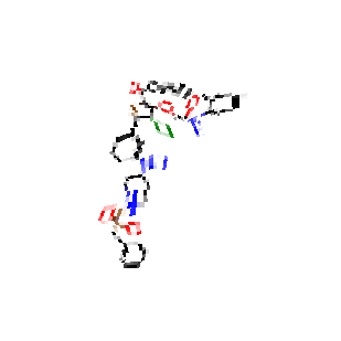 COC(=O)c1sc(-c2cccc(NC3CCN(S(=O)(=O)Cc4ccccc4)CC3)c2)c(Cl)c1OCC(=O)Nc1ccccc1C